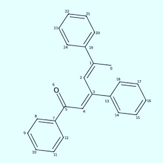 C/C(=C\C(=C/C(=O)c1ccccc1)c1ccccc1)c1ccccc1